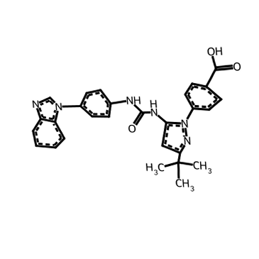 CC(C)(C)c1cc(NC(=O)Nc2ccc(-n3cnc4ccccc43)cc2)n(-c2ccc(C(=O)O)cc2)n1